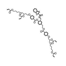 C=CC(=O)OCCCCOCC(CCOc1ccc(C(=O)Oc2ccc(CCOC(=O)c3ccc(OCC(COCCCCOC(=O)C=C)OC(=O)C=C)cc3)cc2/C=N/Nc2nc3ccccc3s2)cc1)OC(=O)C=C